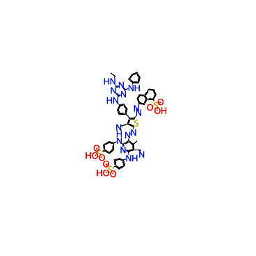 CCNc1nc(Nc2ccccc2)nc(Nc2ccc(-c3c(/N=N/c4ccc5cccc(S(=O)(=O)O)c5c4)sc(N=Nc4c(Nc5ccc(S(=O)(=O)O)cc5)nc(Nc5ccc(S(=O)(=O)O)cc5)c(C#N)c4C)c3C#N)cc2)n1